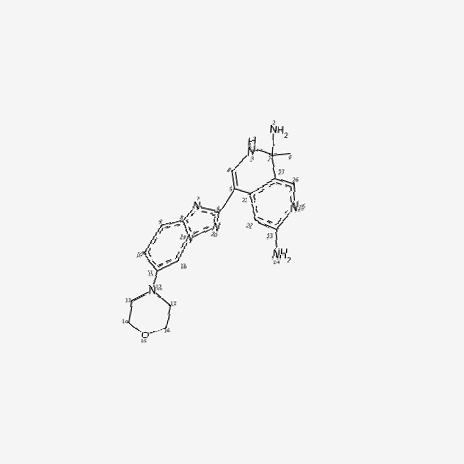 CC1(N)NC=C(c2nc3ccc(N4CCOCC4)cn3n2)c2cc(N)ncc21